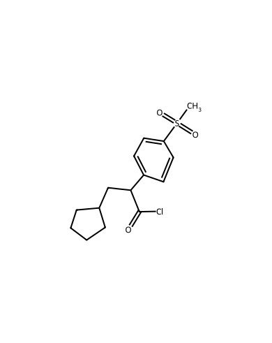 CS(=O)(=O)c1ccc(C(CC2CCCC2)C(=O)Cl)cc1